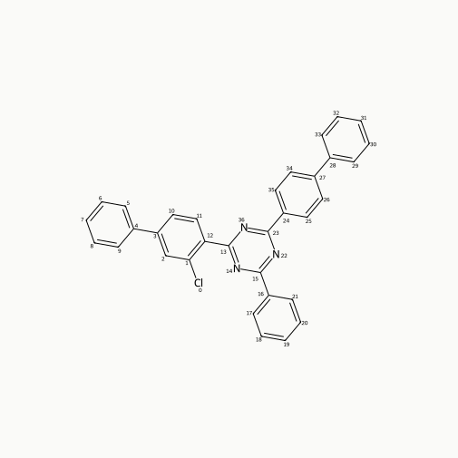 Clc1cc(-c2ccccc2)ccc1-c1nc(-c2ccccc2)nc(-c2ccc(-c3ccccc3)cc2)n1